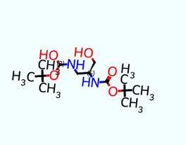 CC(C)(C)OC(=O)N[C@H](CO)CN[C@H](O)OC(C)(C)C